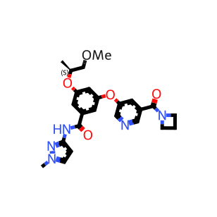 COC[C@H](C)Oc1cc(Oc2cncc(C(=O)N3CCC3)c2)cc(C(=O)Nc2ccn(C)n2)c1